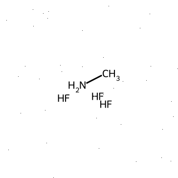 CN.F.F.F